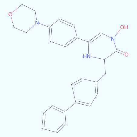 O=C1C(Cc2ccc(-c3ccccc3)cc2)NC(c2ccc(N3CCOCC3)cc2)=CN1O